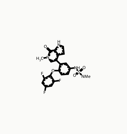 CNS(=O)(=O)Nc1ccc(Oc2c(F)cc(F)cc2F)c(-c2cn(C)c(=O)c3[nH]ccc23)c1